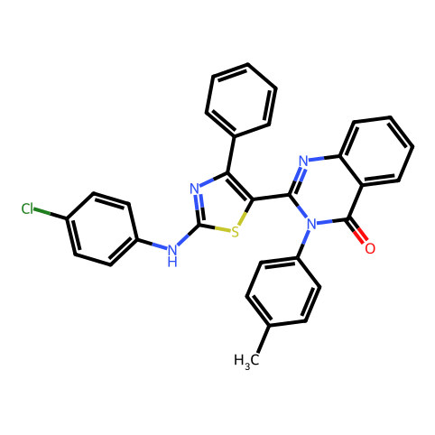 Cc1ccc(-n2c(-c3sc(Nc4ccc(Cl)cc4)nc3-c3ccccc3)nc3ccccc3c2=O)cc1